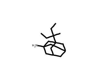 CCC(C)(CC)C12CC3CC(CC(N)(C3)C1)C2